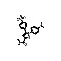 CNc1ccc(-n2nc(C(=O)N(C)C)cc2-c2ccc(S(C)(=O)=O)cc2)cc1